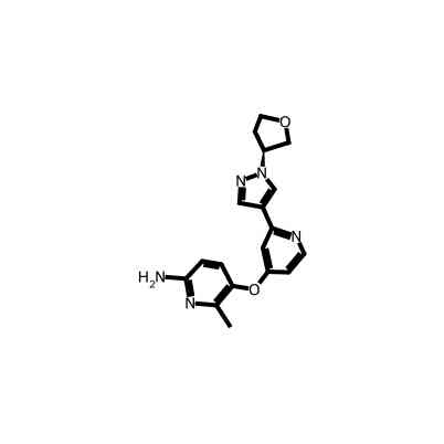 Cc1nc(N)ccc1Oc1ccnc(-c2cnn([C@H]3CCOC3)c2)c1